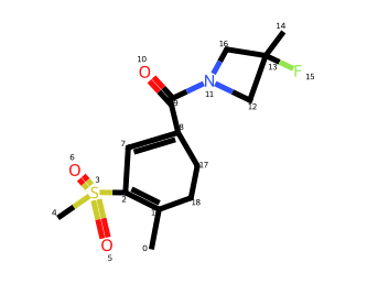 CC1=C(S(C)(=O)=O)C=C(C(=O)N2CC(C)(F)C2)CC1